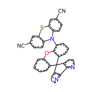 N#Cc1ccc2c(c1)Sc1cc(C#N)ccc1N2c1cccc2c1Oc1ccccc1C21c2cccnc2-c2ncccc21